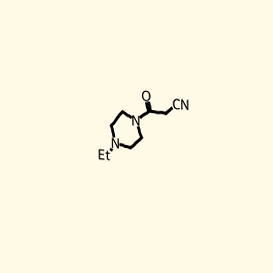 CCN1CCN(C(=O)CC#N)CC1